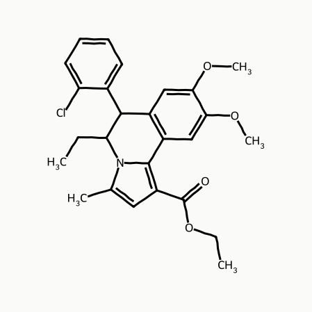 CCOC(=O)c1cc(C)n2c1-c1cc(OC)c(OC)cc1C(c1ccccc1Cl)C2CC